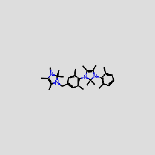 CC1=C(C)N(Cc2cc(C)c(N3C(C)=C(C)N(c4c(C)cccc4C)C3(C)C)c(C)c2)C(C)(C)N1C